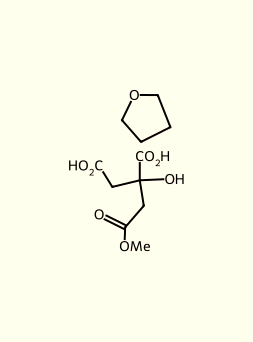 C1CCOC1.COC(=O)CC(O)(CC(=O)O)C(=O)O